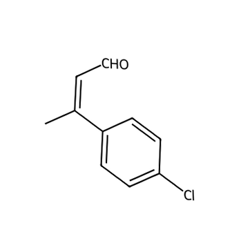 C/C(=C/C=O)c1ccc(Cl)cc1